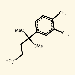 COC(CCC(=O)O)(OC)c1ccc(C)c(C)c1